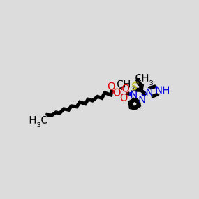 CCCCCCCCCCCCCCCCCC(=O)OC(C)OC(=O)N1c2ccccc2N=C(N2CCNCC2)c2cc(C)sc21